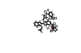 COc1cc(C(=O)N2C[C@H]3CC[C@@H]2[C@@H]3N)cc2nc(-c3cc4ccccc4n3CC3CC3)n(CC3CN(C(=O)c4cc(C#N)ccc4F)C3)c12